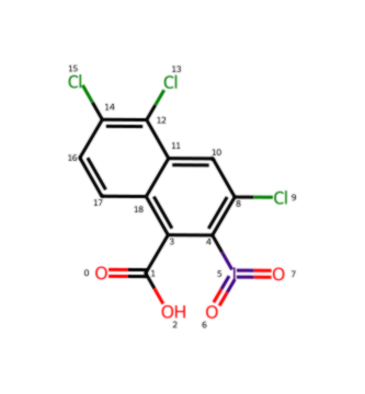 O=C(O)c1c(I(=O)=O)c(Cl)cc2c(Cl)c(Cl)ccc12